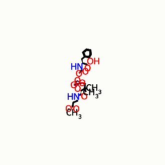 COC(=O)CCNC(=O)[C@@H]1OP(=O)(OCOC(=O)N[C@@H](Cc2ccccc2)C(=O)O)OCC1(C)C